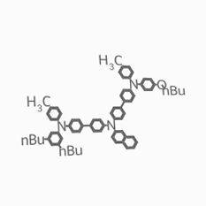 CCCCOc1ccc(N(c2ccc(C)cc2)c2ccc(-c3ccc(N(c4ccc(-c5ccc(N(c6ccc(C)cc6)c6cc(CCCC)cc(CCCC)c6)cc5)cc4)c4ccc5ccccc5c4)cc3)cc2)cc1